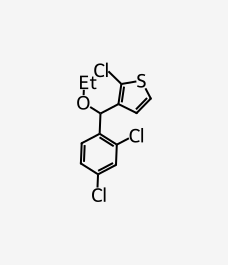 CCOC(c1ccc(Cl)cc1Cl)c1ccsc1Cl